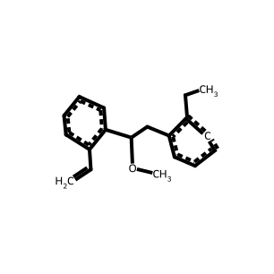 C=Cc1ccccc1C(Cc1ccccc1CC)OC